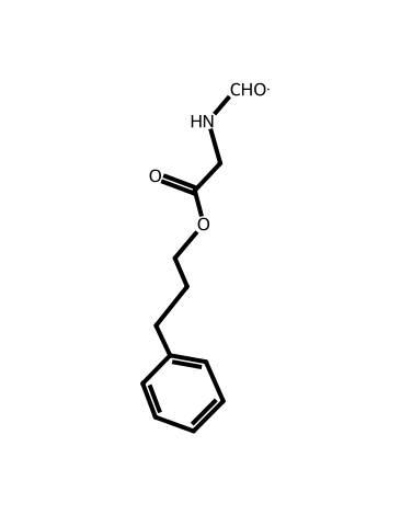 O=[C]NCC(=O)OCCCc1ccccc1